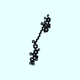 O=C(COc1c(-c2csc(N3CCOCC3)n2)ccc(F)c1F)NCCCCCCCCCCC(=O)N1CCN(c2cc3c(cc2F)C(=O)N(C2CCC(=O)NC2=O)C3=O)CC1